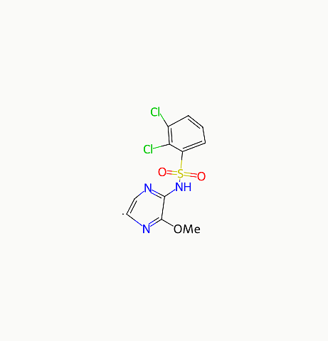 COc1n[c]cnc1NS(=O)(=O)c1cccc(Cl)c1Cl